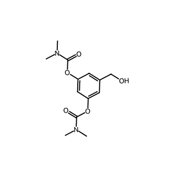 CN(C)C(=O)Oc1cc(CO)cc(OC(=O)N(C)C)c1